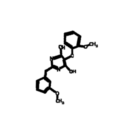 COc1cccc(Cc2nc(O)c(Oc3ccccc3OC)c(O)n2)c1